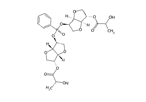 CC(O)C(=O)O[C@H]1CO[C@H]2[C@@H]1OC[C@H]2OP(=O)(O[C@H]1CO[C@H]2[C@@H]1OC[C@H]2OC(=O)C(C)O)c1ccccc1